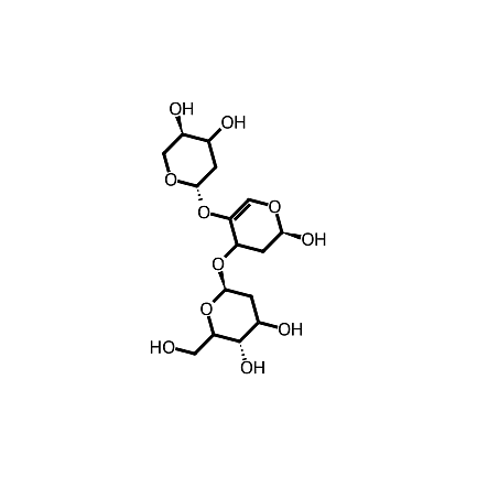 OCC1O[C@@H](OC2C[C@H](O)OC=C2O[C@H]2CC(O)[C@H](O)CO2)CC(O)[C@@H]1O